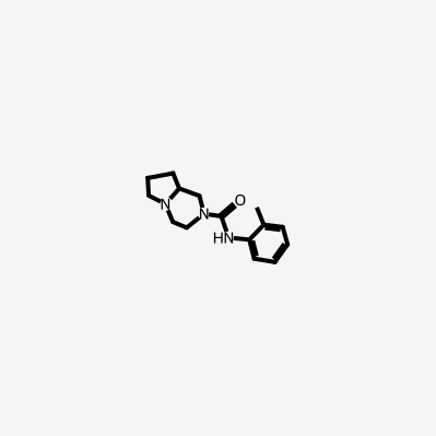 Cc1ccccc1NC(=O)N1CCN2CCCC2C1